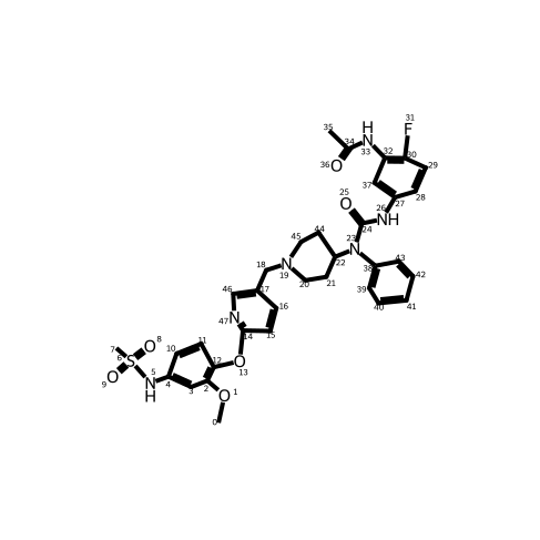 COc1cc(NS(C)(=O)=O)ccc1Oc1ccc(CN2CCC(N(C(=O)Nc3ccc(F)c(NC(C)=O)c3)c3ccccc3)CC2)cn1